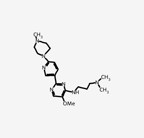 COc1cnc(-c2ccc(N3CCN(C)CC3)nc2)nc1NCCCN(C)C